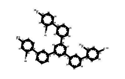 Fc1ccc(-c2cccc(-c3cc(-c4cccc(-c5ccc(F)cc5F)c4)cc(-c4cccc(-c5ccc(F)cc5F)c4)c3)c2)c(F)c1